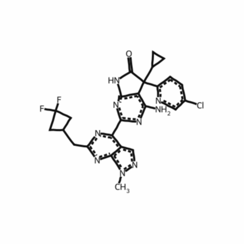 Cn1ncc2c(-c3nc(N)c4c(n3)NC(=O)C4(c3ccc(Cl)cn3)C3CC3)nc(CC3CC(F)(F)C3)nc21